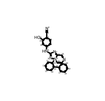 N#Cc1ccc(NC2=N[N+]3(c4ccccc4-c4ccccc4)C=CN=CC3=N2)cc1O